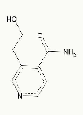 NC(=O)c1ccncc1CCO